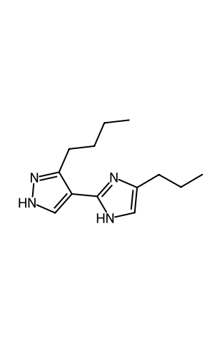 CCCCc1n[nH]cc1-c1nc(CCC)c[nH]1